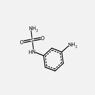 Nc1cccc(NS(N)(=O)=O)c1